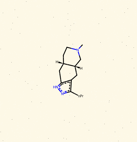 CCCc1n[nH]c2c1C[C@H]1CN(C)CC[C@H]1C2